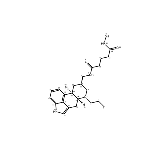 CCCN1C[C@H](CNC(=O)CCCC(=O)PS)C[C@@H]2c3cccc4[nH]cc(c34)C[C@H]21